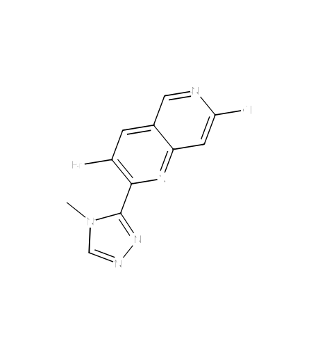 Cn1cnnc1-c1nc2cc(Cl)ncc2cc1Br